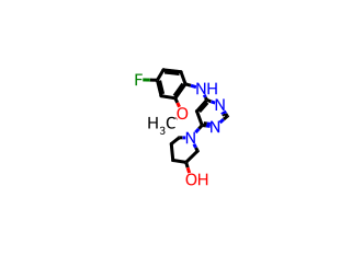 COc1cc(F)ccc1Nc1cc(N2CCCC(O)C2)ncn1